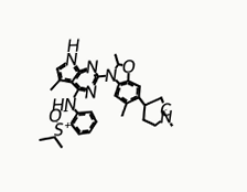 Cc1cc2c(cc1C1CCN(C)CC1)OC(C)N2c1nc(Nc2ccccc2[S+]([O-])C(C)C)c2c(C)c[nH]c2n1